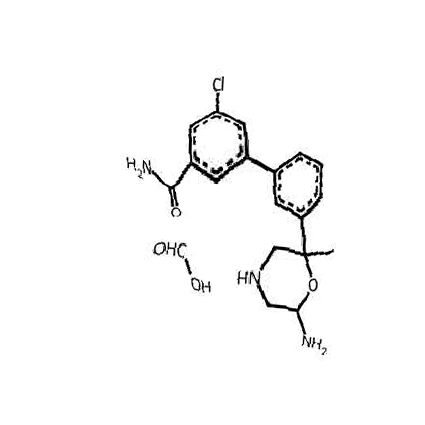 CC1(c2cccc(-c3cc(Cl)cc(C(N)=O)c3)c2)CNCC(N)O1.O=CO